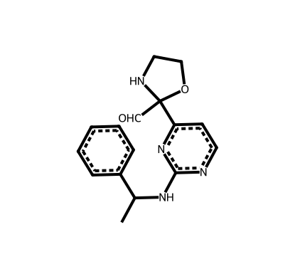 CC(Nc1nccc(C2(C=O)NCCO2)n1)c1ccccc1